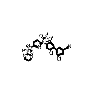 CNC(=O)N(c1ccc(S(=O)(=O)Nc2ncccn2)cn1)c1cc(Cl)c(-c2cc(Cl)cc(C#N)c2)cc1OC